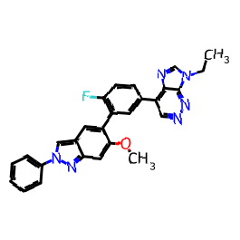 CCn1cnc2c(-c3ccc(F)c(-c4cc5cn(-c6ccccc6)nc5cc4OC)c3)cnnc21